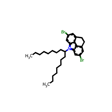 CCCCCCCCC(CCCCCCCC)n1c2cc(Br)cc3c2c2c(cc(Br)cc21)CC3